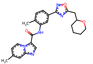 Cc1ccn2c(C(=O)Nc3cc(-c4noc(CC5CCCCO5)n4)ccc3C)cnc2c1